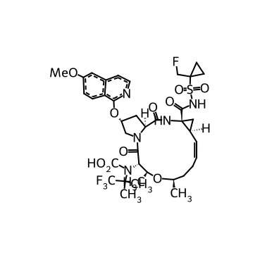 COc1ccc2c(O[C@@H]3C[C@H]4C(=O)N[C@]5(C(=O)NS(=O)(=O)C6(CF)CC6)C[C@H]5/C=C\CC[C@@H](C)O[C@@H](C)[C@H](N(C(=O)O)C(C)(C)C(F)(F)F)C(=O)N4C3)nccc2c1